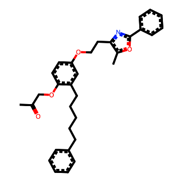 CC(=O)COc1ccc(OCCc2nc(-c3ccccc3)oc2C)cc1CCCCCc1ccccc1